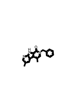 Cc1cnc2[nH]c3c(=O)n(Cc4ccccc4)cc(C)c3c2c1